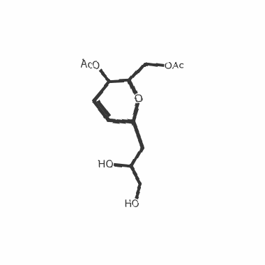 CC(=O)OCC1OC(CC(O)CO)C=CC1OC(C)=O